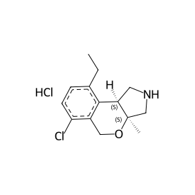 CCc1ccc(Cl)c2c1[C@H]1CNC[C@@]1(C)OC2.Cl